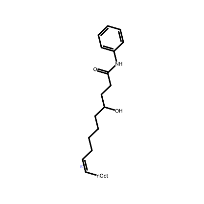 CCCCCCCC/C=C\CCCCC(O)CCC(=O)Nc1ccccc1